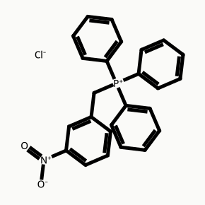 O=[N+]([O-])c1cccc(C[P+](c2ccccc2)(c2ccccc2)c2ccccc2)c1.[Cl-]